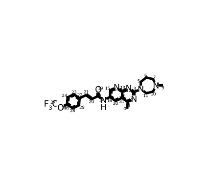 Cc1nc(N2CCCN(C)CC2)nc2ncc(NC(=O)C=Cc3ccc(OC(F)(F)F)cc3)cc12